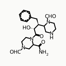 NC(=O)C1CN(C=O)CCN1C(=O)[C@H](O)[C@@H](Cc1ccccc1)C1CNCCN1C=O